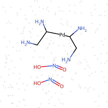 NC[CH](N)[Pd][CH](N)CN.O=NO.O=NO